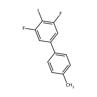 Cc1ccc(-c2cc(F)c(I)c(F)c2)cc1